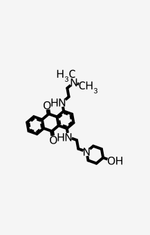 CN(C)CCNc1ccc(NCCN2CCC(O)CC2)c2c1C(=O)c1ccccc1C2=O